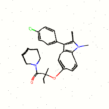 Cc1c(-c2ccc(Cl)cc2)c2cc(OC(C)(C)C(=O)N3CCCCC3)ccc2n1C